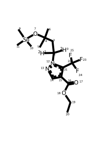 [2H]C([2H])(CC(C)(C)O[Si](C)(C)C)n1ncc(C(=O)OCC)c1C(F)(F)F